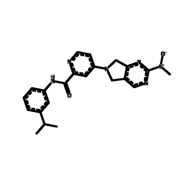 CC(C)c1cccc(NC(=O)c2cc(N3Cc4cnc([S+](C)[O-])nc4C3)ccn2)c1